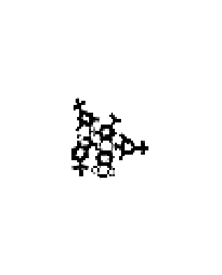 Cc1cc(C(C)(C)C)cc(C)c1N1c2cc3c(cc2B2c4c1cc(C(C)C)cc4N(c1c(C)cc(C(C)(C)C)cc1C)c1sc4ccc(C(C)(C)C)cc4c12)OCCO3